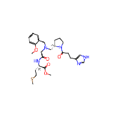 COC(=O)[C@H](CCSC)NC(=O)CN(Cc1ccccc1OC)C[C@@H]1CCCN1C(=O)CCc1c[nH]cn1